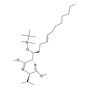 CCCCCCC/C=C/CC[C@H](O[Si](C)(C)C(C)(C)C)[C@@H]1N=C(OC)[C@@H](C(C)C)N=C1OC